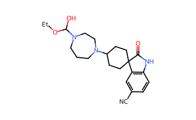 CCOC(O)N1CCCN(C2CCC3(CC2)C(=O)Nc2ccc(C#N)cc23)CC1